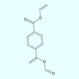 C=COC(=O)c1ccc(C(=C)OC=O)cc1